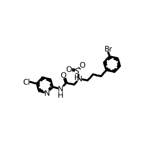 O=C(CN(CCCc1cccc(Br)c1)[SH](=O)=O)Nc1ccc(Cl)cn1